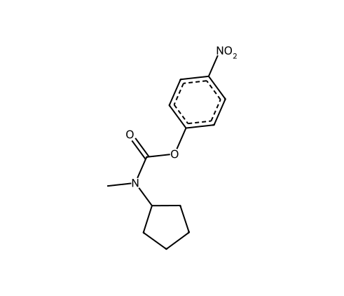 CN(C(=O)Oc1ccc([N+](=O)[O-])cc1)C1CCCC1